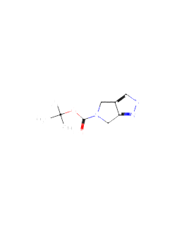 CC(C)(C)OC(=O)N1CC2=C[N]N=C2C1